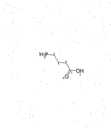 O=C(O)CCCP